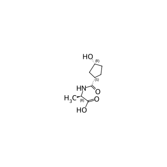 C[C@@H](NC(=O)[C@H]1CC[C@@H](O)C1)C(=O)O